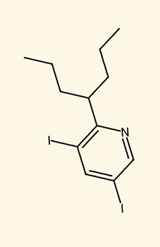 CCCC(CCC)c1ncc(I)cc1I